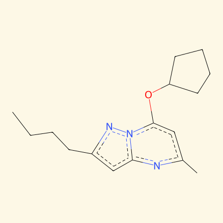 CCCCc1cc2nc(C)cc(OC3CCCC3)n2n1